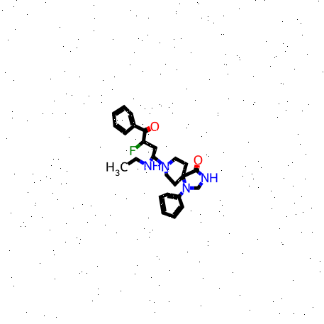 CCNC(CC(F)C(=O)c1ccccc1)N1CCC2(CC1)C(=O)NCN2c1ccccc1